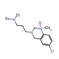 CCN(CC)CCCN1Cc2cc(Cl)ccc2[N+](C)([O-])C1